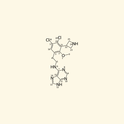 COc1c(CCNc2ncnc3[nH]cnc23)cc(Cl)c(Cl)c1C1CNC1